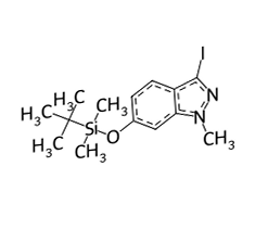 Cn1nc(I)c2ccc(O[Si](C)(C)C(C)(C)C)cc21